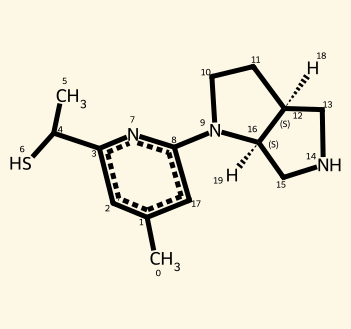 Cc1cc(C(C)S)nc(N2CC[C@H]3CNC[C@H]32)c1